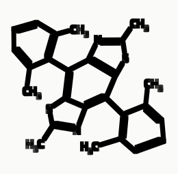 Cc1nc2c(-c3c(C)cccc3C)c3sc(C)nc3c(-c3c(C)cccc3C)c2s1